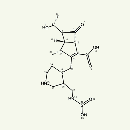 C[C@@H](O)[C@H]1C(=O)N2C(C(=O)O)=C(CN3CCNCC3CNS(=O)O)[C@H](C)[C@H]12